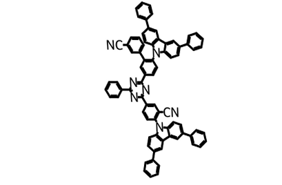 N#Cc1cccc(-c2cc(-c3nc(-c4ccccc4)nc(-c4ccc(-n5c6ccc(-c7ccccc7)cc6c6cc(-c7ccccc7)ccc65)c(C#N)c4)n3)ccc2-n2c3ccc(-c4ccccc4)cc3c3cc(-c4ccccc4)ccc32)c1